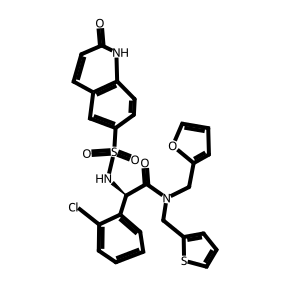 O=C([C@H](NS(=O)(=O)c1ccc2[nH]c(=O)ccc2c1)c1ccccc1Cl)N(Cc1ccco1)Cc1cccs1